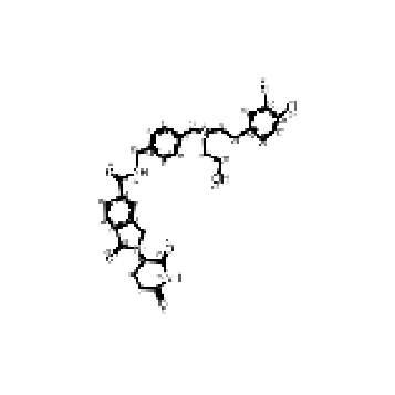 O=C1CCC(N2Cc3cc(C(=O)NCc4ccc(CN(CCO)CCc5ccc(Cl)c(Cl)c5)cc4)ccc3C2=O)C(=O)N1